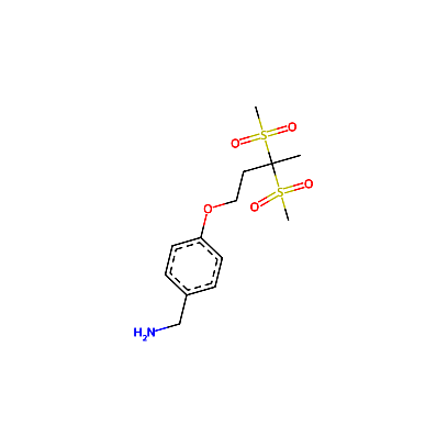 CC(CCOc1ccc(CN)cc1)(S(C)(=O)=O)S(C)(=O)=O